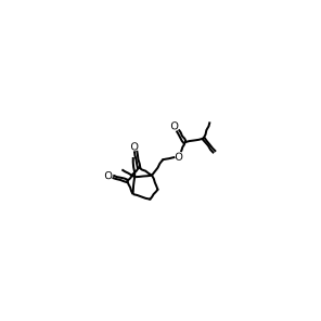 C=C(C)C(=O)OCC12CCC(C(=O)C1=O)C2(C)C